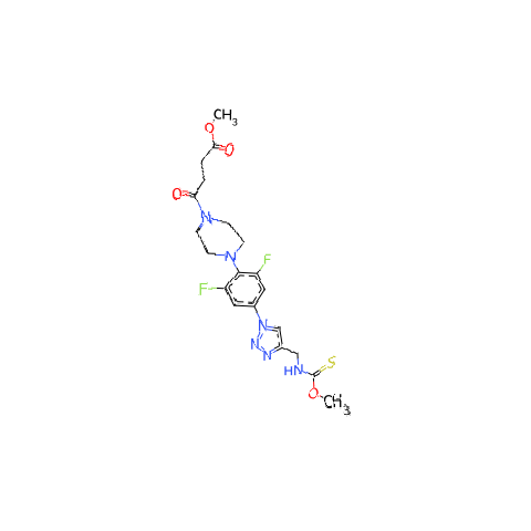 COC(=O)CCC(=O)N1CCN(c2c(F)cc(-n3cc(CNC(=S)OC)nn3)cc2F)CC1